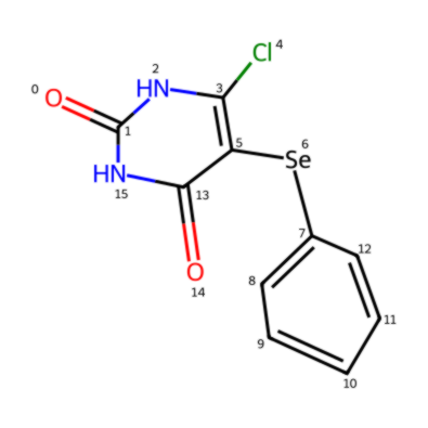 O=c1[nH]c(Cl)c([Se]c2ccccc2)c(=O)[nH]1